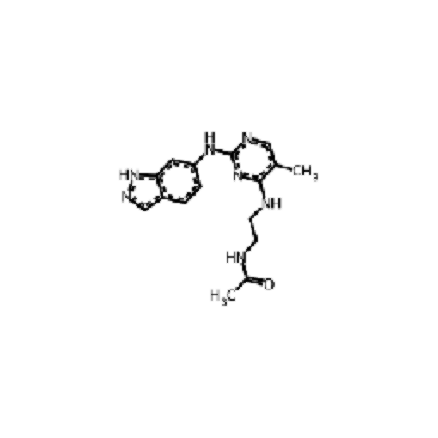 CC(=O)NCCNc1nc(Nc2ccc3cn[nH]c3c2)ncc1C